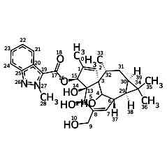 CC1=C[C@]23C(O)[C@@H](C=C(CO)[C@@H](O)[C@]2(O)[C@H]1OC(=O)c1c2ccccc2nn1C)[C@H]1[C@@H](C[C@H]3C)C1(C)C